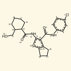 O=C(Nc1ccc(Cl)cc1)c1c(NC(=O)C2CCCCC2CO)sc2c1CCC2